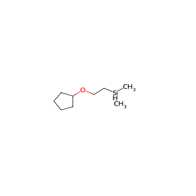 C[SiH](C)CCOC1CCCC1